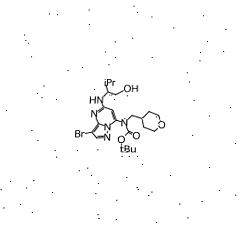 CC(C)C(CO)Nc1cc(N(CC2CCOCC2)C(=O)OC(C)(C)C)n2ncc(Br)c2n1